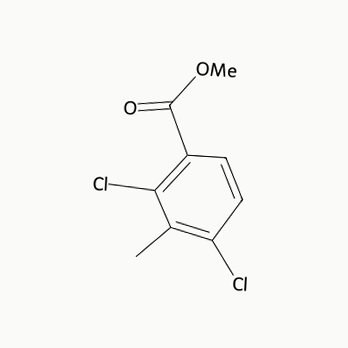 COC(=O)c1ccc(Cl)c(C)c1Cl